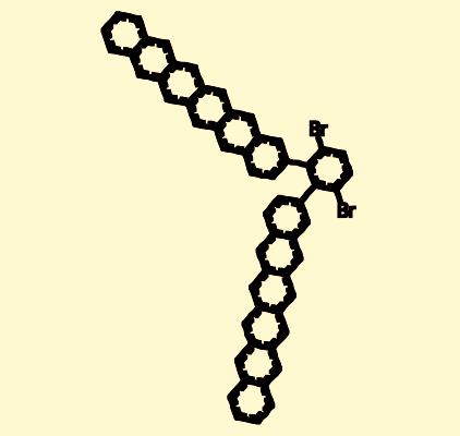 Brc1ccc(Br)c(-c2ccc3cc4cc5cc6cc7ccccc7cc6cc5cc4cc3c2)c1-c1ccc2cc3cc4cc5cc6ccccc6cc5cc4cc3cc2c1